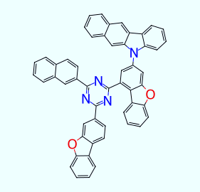 c1ccc2cc(-c3nc(-c4ccc5c(c4)oc4ccccc45)nc(-c4cc(-n5c6ccccc6c6cc7ccccc7cc65)cc5oc6ccccc6c45)n3)ccc2c1